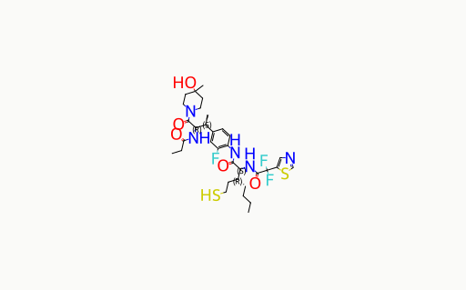 CCCC[C@H](CCS)[C@H](NC(=O)C(F)(F)c1cncs1)C(=O)Nc1ccc([C@H](C)[C@@H](NC(=O)CC)C(=O)N2CCC(C)(O)CC2)cc1F